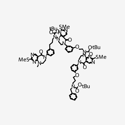 CSc1ncc2c(n1)N(C)CCN(c1cccc(CCCN(C(=O)OC(C)(C)C)N3CCN(c4cccc(OCCN(C(=O)OC(C)(C)C)N5CCN(c6cccc(OCCCN(Cc7ccccc7)C(=O)OC(C)(C)C)c6)C(=O)c6cnc(SC)nc65)c4)C(=O)c4cnc(SC)nc43)c1)C2=O